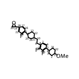 COC1CCC(c2ccc(CCC3CCC(c4ccc(C5CO5)cc4F)CC3)c(F)c2F)CC1